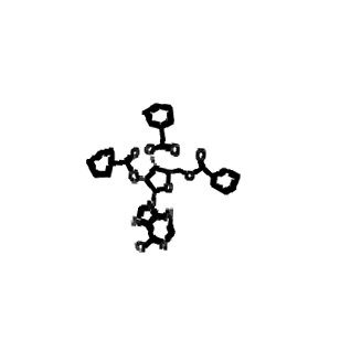 O=C(OC[C@H]1O[C@@H](n2cnc3c(Cl)ncnc32)[C@H](OC(=O)c2ccccc2)[C@@H]1OC(=O)c1ccccc1)c1ccccc1